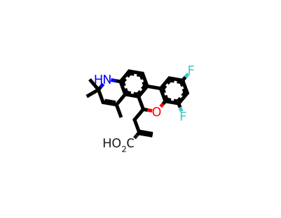 C=C(CC1Oc2c(F)cc(F)cc2-c2ccc3c(c21)C(C)=CC(C)(C)N3)C(=O)O